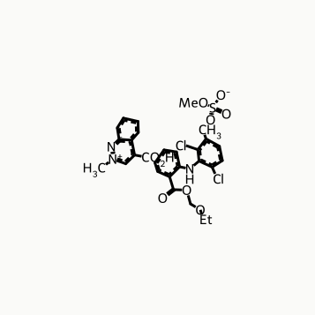 CCOCOC(=O)c1ccccc1Nc1c(Cl)ccc(C)c1Cl.COS(=O)(=O)[O-].C[n+]1cc(C(=O)O)c2ccccc2n1